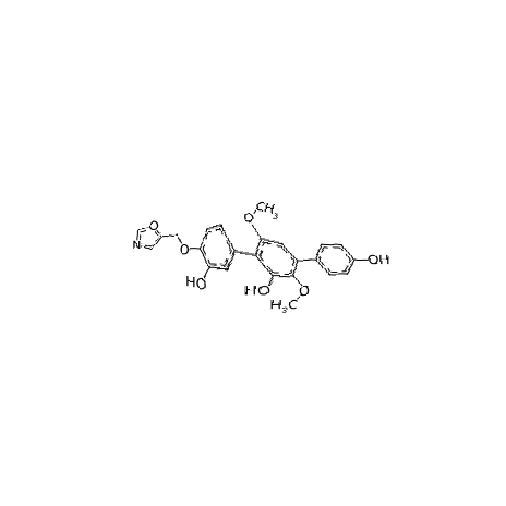 COc1cc(-c2ccc(O)cc2)c(OC)c(O)c1-c1ccc(OCc2cnco2)c(O)c1